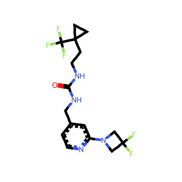 O=C(NCCC1(C(F)(F)F)CC1)NCc1ccnc(N2CC(F)(F)C2)c1